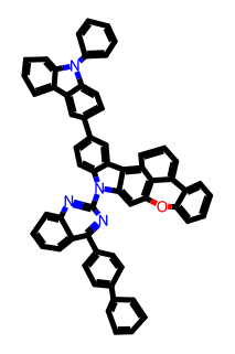 c1ccc(-c2ccc(-c3nc(-n4c5ccc(-c6ccc7c(c6)c6ccccc6n7-c6ccccc6)cc5c5c6cccc7c6c(cc54)Oc4ccccc4-7)nc4ccccc34)cc2)cc1